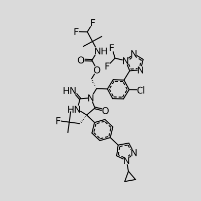 CC(C)(F)C[C@]1(c2ccc(-c3cnn(C4CC4)c3)cc2)NC(=N)N([C@H](COC(=O)NC(C)(C)C(F)F)c2ccc(Cl)c(-c3ncnn3C(F)F)c2)C1=O